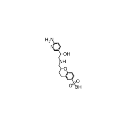 Nc1ccc([C@H](O)CNCC2CCc3cc(S(=O)(=O)O)ccc3O2)cn1